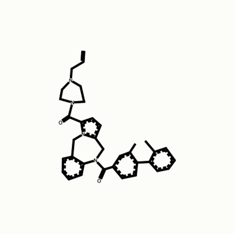 C=CCN1CCN(C(=O)c2ccc3n2Cc2ccccc2N(C(=O)c2ccc(-c4ccccc4C)c(C)c2)C3)CC1